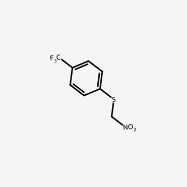 O=[N+]([O-])CSc1ccc(C(F)(F)F)cc1